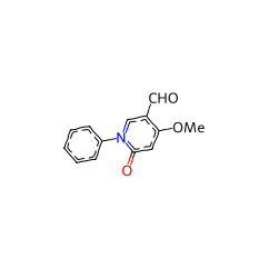 COc1cc(=O)n(-c2ccccc2)cc1C=O